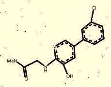 CNC(=O)CNc1ncc(-c2cccc(Cl)c2)cc1O